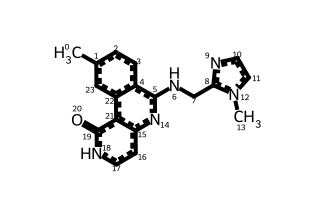 Cc1ccc2c(NCc3nccn3C)nc3cc[nH]c(=O)c3c2c1